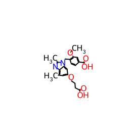 COc1cc(C(=O)O)ccc1Cn1c(C)nc2c(C)cc(OCCCC(=O)O)cc21